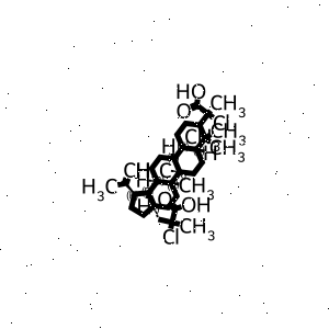 C=C(C)[C@@H]1CC[C@]2(CC(C)(Cl)C(=O)O)CC[C@]3(C)[C@H](CC[C@@H]4[C@@]5(C)CCC(C(C)(Cl)C(=O)O)C(C)(C)[C@@H]5CC[C@]43C)[C@@H]12